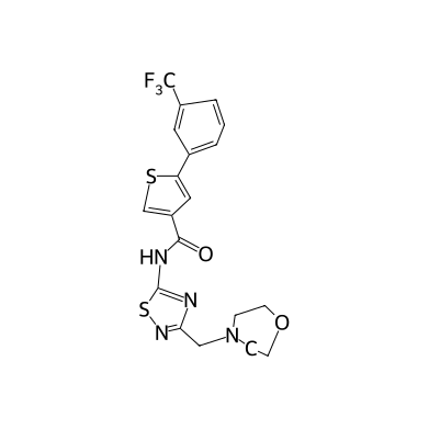 O=C(Nc1nc(CN2CCOCC2)ns1)c1csc(-c2cccc(C(F)(F)F)c2)c1